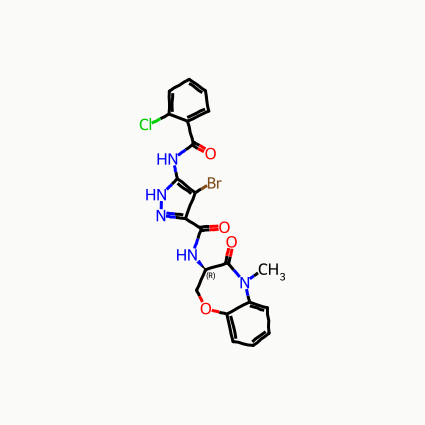 CN1C(=O)[C@H](NC(=O)c2n[nH]c(NC(=O)c3ccccc3Cl)c2Br)COc2ccccc21